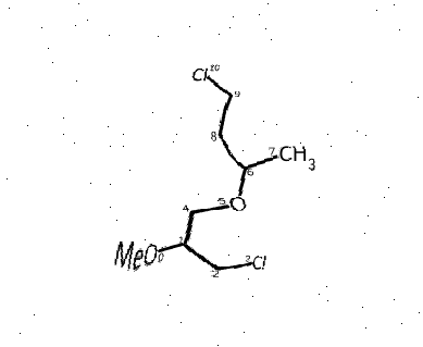 COC(CCl)COC(C)CCCl